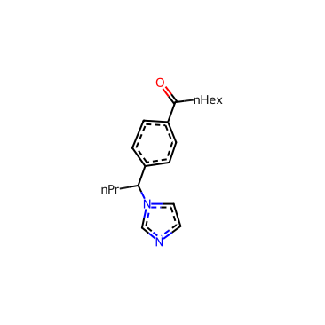 CCCCCCC(=O)c1ccc(C(CCC)n2ccnc2)cc1